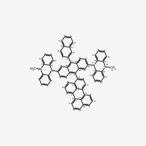 CN1c2ccccc2N(c2ccc3c(-c4ccc5c6cccc7cccc(c8cccc4c85)c76)c4cc(N5c6ccccc6N(C)c6ccccc65)ccc4c(-c4ccc5ccccc5c4)c3c2)c2ccccc21